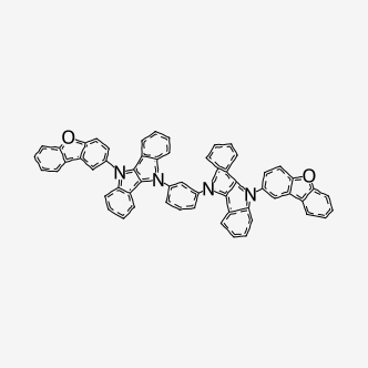 c1cc(-n2c3ccccc3c3c2c2ccccc2n3-c2ccc3oc4ccccc4c3c2)cc(-n2c3ccccc3c3c2c2ccccc2n3-c2ccc3oc4ccccc4c3c2)c1